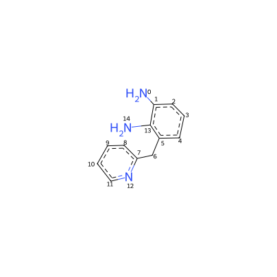 Nc1cccc(Cc2ccccn2)c1N